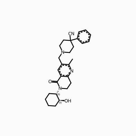 Cc1nc2c(cc1CN1CCC(C#N)(c3ccccc3)CC1)C(=O)N([C@H]1CCCC[C@@H]1O)CC2